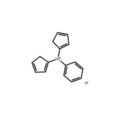 C1=CC[C]([Hf+]([C]2=CC=CC2)[c]2ccccc2)=C1.[H-]